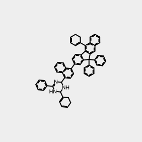 C1=CCCC(c2c3c(cc4ccccc24)C(c2ccccc2)(c2ccccc2)c2cc(-c4ccc(C5N=C(c6ccccc6)NC(C6=CC=CCC6)N5)c5ccccc45)ccc2-3)=C1